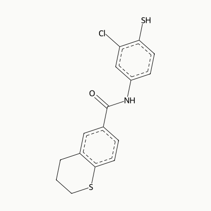 O=C(Nc1ccc(S)c(Cl)c1)c1ccc2c(c1)CCCS2